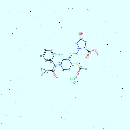 COC(=O)[C@@H]1C[C@@H](O)CN1CC=C1CN(C(C(=O)C2CC2)c2ccccc2F)CCC1SC(C)=O.Cl.Cl